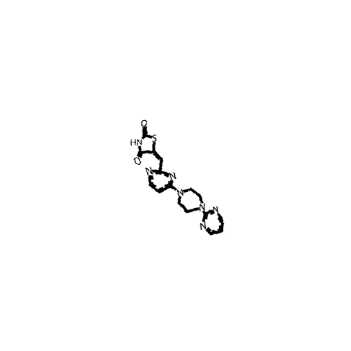 O=C1NC(=O)/C(=C\c2nccc(N3CCN(c4ncccn4)CC3)n2)S1